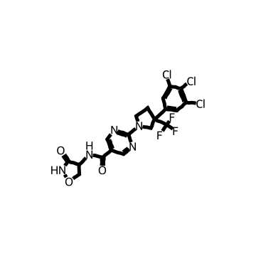 O=C(NC1CONC1=O)c1cnc(N2CCC(c3cc(Cl)c(Cl)c(Cl)c3)(C(F)(F)F)C2)nc1